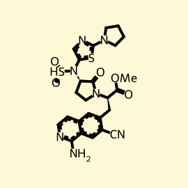 COC(=O)[C@@H](Cc1cc2ccnc(N)c2cc1C#N)N1CC[C@H](N(c2cnc(N3CCCC3)s2)[SH](=O)=O)C1=O